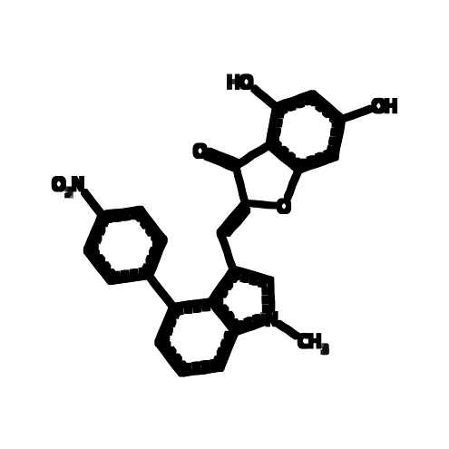 Cn1cc(C=C2Oc3cc(O)cc(O)c3C2=O)c2c(-c3ccc([N+](=O)[O-])cc3)cccc21